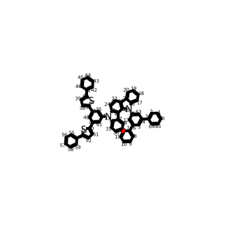 c1ccc(-c2cc(-c3ccccc3)cc(-n3c4ccccc4c4ccc5c(c6ccccc6n5-c5cc(-c6ccc(-c7ccccc7)s6)cc(-c6ccc(-c7ccccc7)s6)c5)c43)c2)cc1